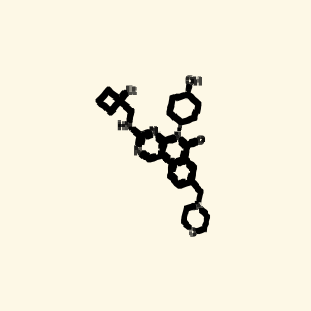 CCC1(CNc2ncc3c4ccc(CN5CCOCC5)cc4c(=O)n([C@H]4CC[C@H](O)CC4)c3n2)CCC1